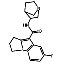 O=C(NC1CN2CCC1C2)c1c2n(c3ccc(F)cc13)CCC2